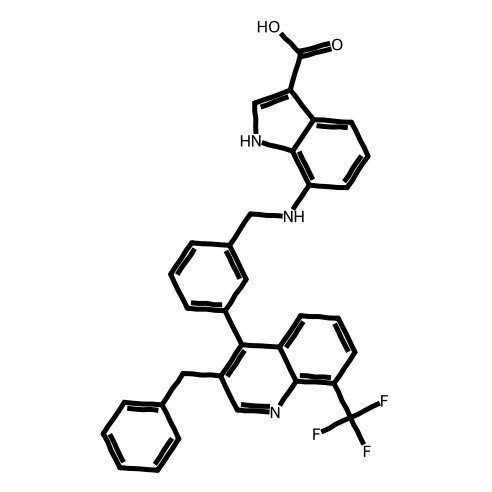 O=C(O)c1c[nH]c2c(NCc3cccc(-c4c(Cc5ccccc5)cnc5c(C(F)(F)F)cccc45)c3)cccc12